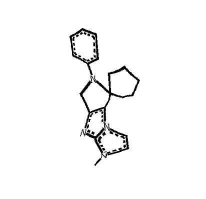 Cn1ccn2c3c(nc12)CN(c1ccccc1)C31CCCCC1